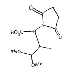 COC(OC)C(C)N(C(=O)O)N1C(=O)CCC1=O